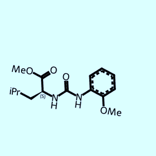 COC(=O)[C@H](CC(C)C)NC(=O)Nc1ccccc1OC